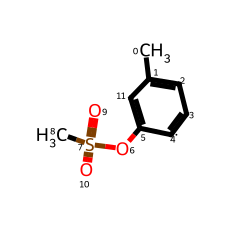 Cc1cc[c]c(OS(C)(=O)=O)c1